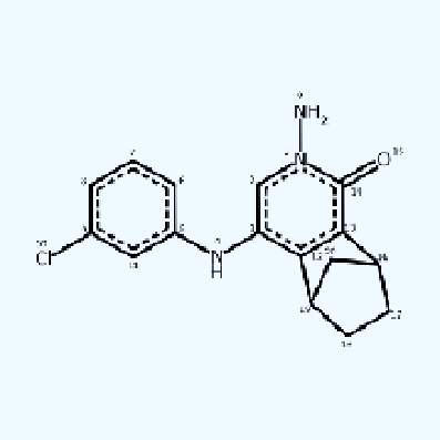 Nn1cc(Nc2cccc(Cl)c2)c2c(c1=O)C1CCC2C1